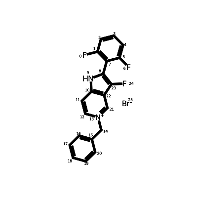 Fc1cccc(F)c1-c1[nH]c2cc[n+](Cc3ccccc3)cc2c1F.[Br-]